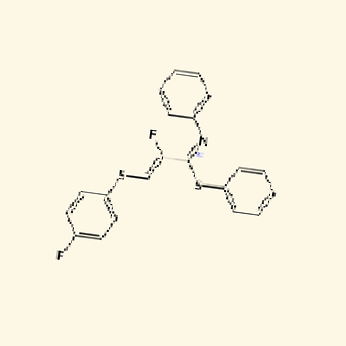 FC(=CSc1ccc(F)cc1)/C(=N\c1ccccc1)Sc1ccccc1